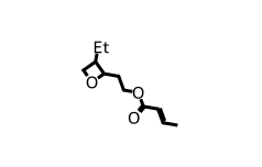 CC=CC(=O)OCCC1OCC1CC